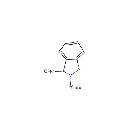 CCCCCCN1Sc2ccccc2C1C=O